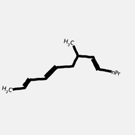 CC=CC=CCC(C)C=CCCC